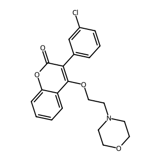 O=c1oc2ccccc2c(OCCN2CCOCC2)c1-c1cccc(Cl)c1